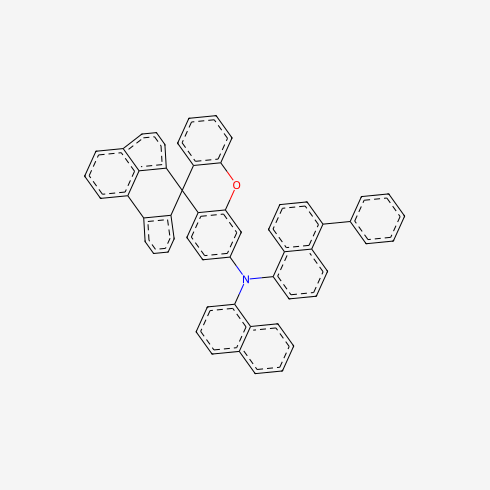 c1ccc(-c2cccc3c(N(c4ccc5c(c4)Oc4ccccc4C54c5ccccc5-c5cccc6cccc4c56)c4cccc5ccccc45)cccc23)cc1